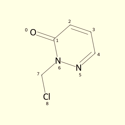 O=c1cccnn1CCl